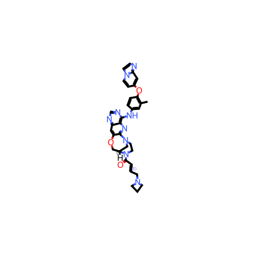 Cc1cc(Nc2ncnc3cc4c(nc23)N2CCN(C(=O)/C=C/CN3CCC3)[C@H](CO4)C2)ccc1Oc1ccn2ccnc2c1